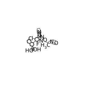 CC(COc1nc(N2CC3CCC(C2)N3)c2cc(Cl)c(-c3cc(B(O)O)cc4ccccc34)c(F)c2n1)CN1C2CCC1COC2